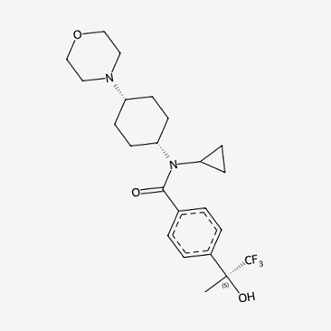 C[C@](O)(c1ccc(C(=O)N(C2CC2)[C@H]2CC[C@@H](N3CCOCC3)CC2)cc1)C(F)(F)F